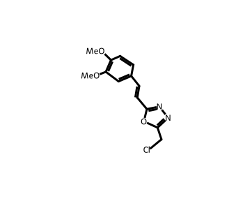 COc1ccc(C=Cc2nnc(CCl)o2)cc1OC